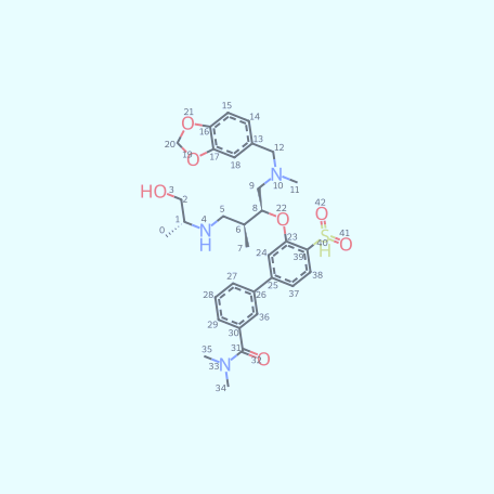 C[C@H](CO)NC[C@H](C)[C@@H](CN(C)Cc1ccc2c(c1)OCO2)Oc1cc(-c2cccc(C(=O)N(C)C)c2)ccc1[SH](=O)=O